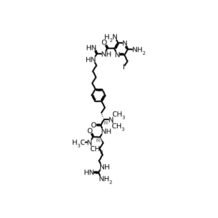 CN(C)C(=O)[C@H](CCCCNC(=N)N)NC(=O)[C@H](CCc1ccc(CCCCNC(=N)NC(=O)c2nc(CI)c(N)nc2N)cc1)N(C)C